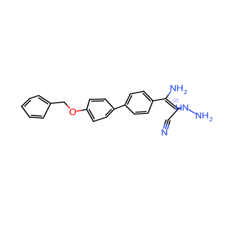 N#C/C(NN)=C(/N)c1ccc(-c2ccc(OCc3ccccc3)cc2)cc1